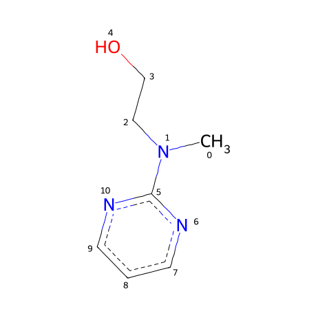 CN(CCO)c1ncccn1